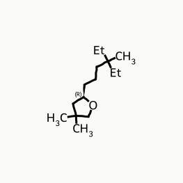 CCC(C)(CC)CCC[C@@H]1CC(C)(C)CO1